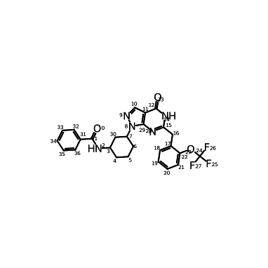 O=C(NC1CCCC(n2ncc3c(=O)[nH]c(Cc4ccccc4OC(F)(F)F)nc32)C1)c1ccccc1